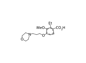 CCc1c(C(=O)O)ccc(OCCCN2CCOCC2)c1OC